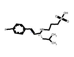 CC(C)C[C@H](/C=C/c1ccc(F)cc1)NCCCS(=O)(=O)O